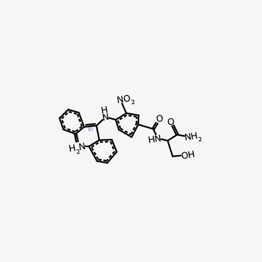 C=c1cccc/c1=C(\Nc1ccc(C(=O)NC(CO)C(N)=O)cc1[N+](=O)[O-])c1ccccc1N